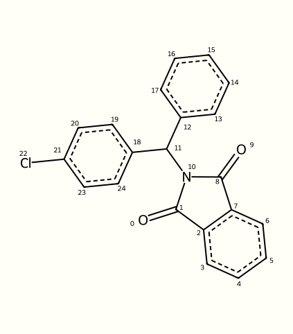 O=C1c2ccccc2C(=O)N1C(c1ccccc1)c1ccc(Cl)cc1